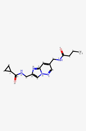 O=C(CCC(F)(F)F)NCc1cnn2cc(CNC(=O)C3CC3)nc2c1